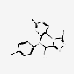 CCC1c2nnc(C)n2-c2cnc(Cl)nc2N1c1ccc(Cl)cc1